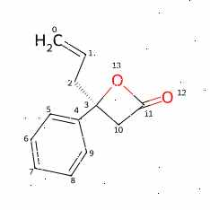 C=CC[C@@]1(c2ccccc2)CC(=O)O1